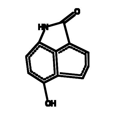 O=C1Nc2ccc(O)c3cccc1c23